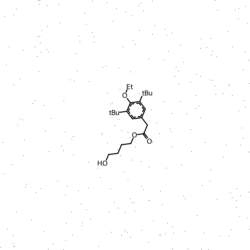 CCOc1c(C(C)(C)C)cc(CC(=O)OCCCCO)cc1C(C)(C)C